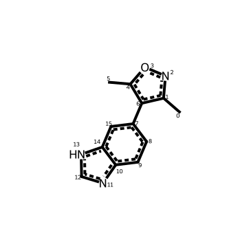 Cc1noc(C)c1-c1ccc2nc[nH]c2c1